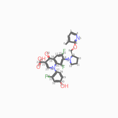 Cc1cccnc1OC[C@H]1CCCN1c1c(F)cc2c(=O)c(C(=O)O)cn(-c3ccc(O)cc3F)c2c1F